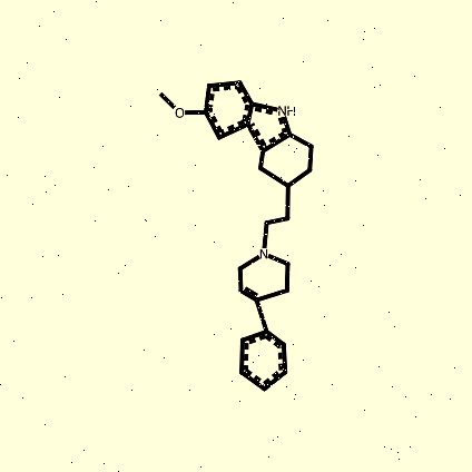 COc1ccc2[nH]c3c(c2c1)CC(CCN1CC=C(c2ccccc2)CC1)CC3